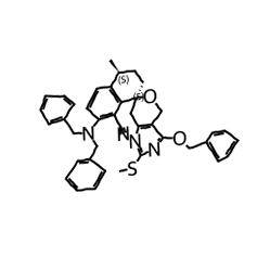 CSc1nc2c(c(OCc3ccccc3)n1)CO[C@@]1(CC[C@H](C)c3ccc(N(Cc4ccccc4)Cc4ccccc4)c(C#N)c31)C2